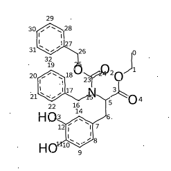 CCOC(=O)C(Cc1ccc(O)c(O)c1)N(Cc1ccccc1)C(=O)OCc1ccccc1